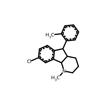 Cc1ccccc1C1c2ccc(Cl)cc2C2C1CCCN2C